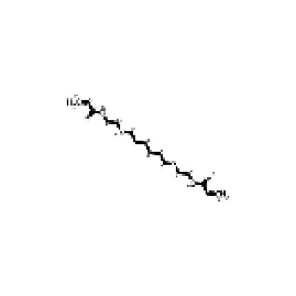 C=CC(=O)OCCSCCCCCCSCCOC(=O)C=C